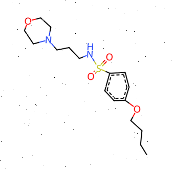 CCCCOc1ccc(S(=O)(=O)NCCCN2CCOCC2)cc1